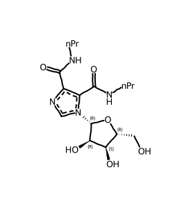 CCCNC(=O)c1ncn([C@@H]2O[C@H](CO)[C@@H](O)[C@H]2O)c1C(=O)NCCC